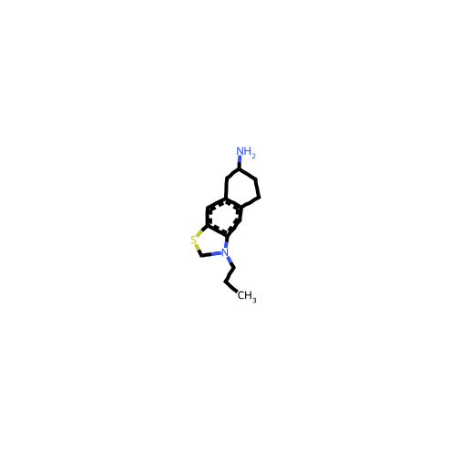 CCCN1CSc2cc3c(cc21)CCC(N)C3